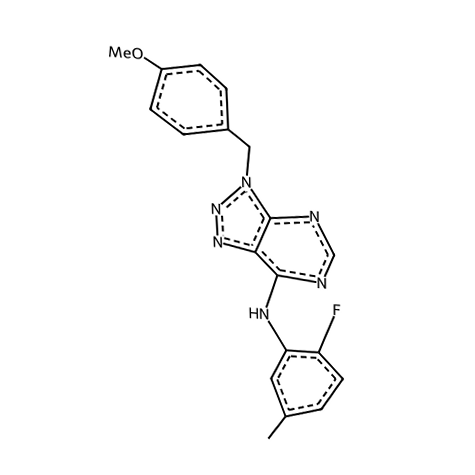 COc1ccc(Cn2nnc3c(Nc4cc(C)ccc4F)ncnc32)cc1